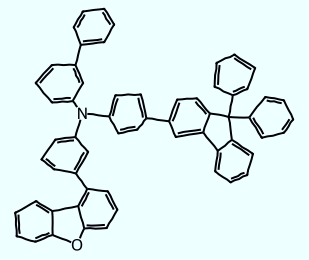 c1ccc(-c2cccc(N(c3ccc(-c4ccc5c(c4)-c4ccccc4C5(c4ccccc4)c4ccccc4)cc3)c3cccc(-c4cccc5oc6ccccc6c45)c3)c2)cc1